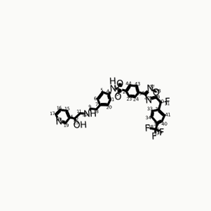 O=S(=O)(Nc1ccc(CCNCC(O)c2cccnc2)cc1)c1ccc(-c2noc([C@H](F)c3ccc(C(F)(F)F)cc3)n2)cc1